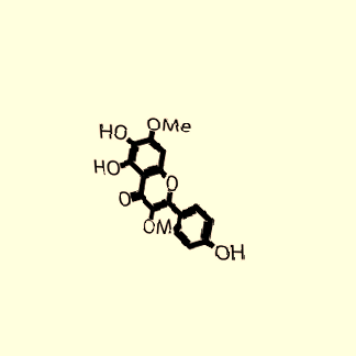 COc1cc2oc(-c3ccc(O)cc3)c(OC)c(=O)c2c(O)c1O